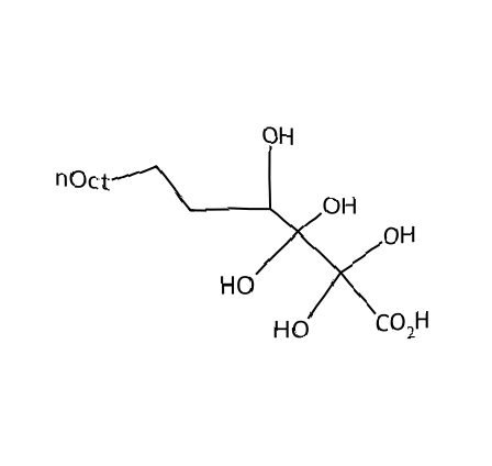 CCCCCCCCCCC(O)C(O)(O)C(O)(O)C(=O)O